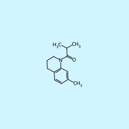 Cc1ccc2c(c1)N(C(=O)C(C)C)CCC2